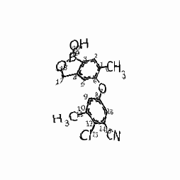 Cc1cc2c(cc1Oc1cc(C)c(Cl)c(C#N)c1)COB2O